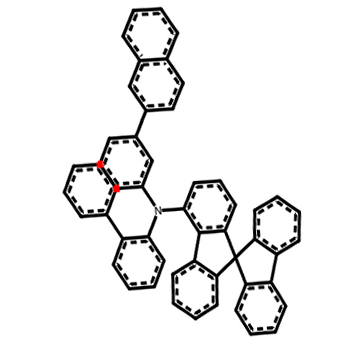 c1ccc(-c2ccccc2N(c2cccc(-c3ccc4ccccc4c3)c2)c2cccc3c2-c2ccccc2C32c3ccccc3-c3ccccc32)cc1